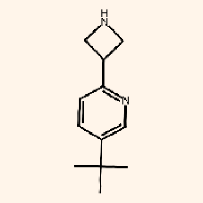 CC(C)(C)c1ccc(C2CNC2)nc1